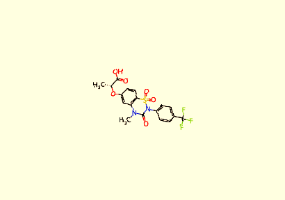 C[C@@H](Oc1ccc2c(c1)N(C)C(=O)N(c1ccc(C(F)(F)F)cc1)S2(=O)=O)C(=O)O